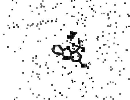 Nc1ccc(Oc2ccccc2O)c(C(F)(F)F)c1.[Na+].[OH-]